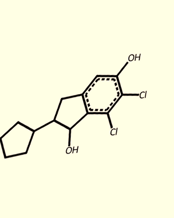 Oc1cc2c(c(Cl)c1Cl)C(O)C(C1CCCC1)C2